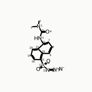 CN(C)C(=O)Nc1cccc2c(S(=O)(=O)N=[N+]=[N-])cccc12